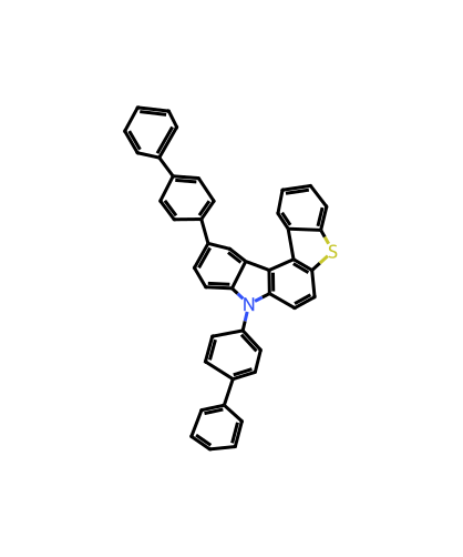 c1ccc(-c2ccc(-c3ccc4c(c3)c3c5c(ccc3n4-c3ccc(-c4ccccc4)cc3)sc3ccccc35)cc2)cc1